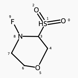 O=[SH](=O)C1COCCN1F